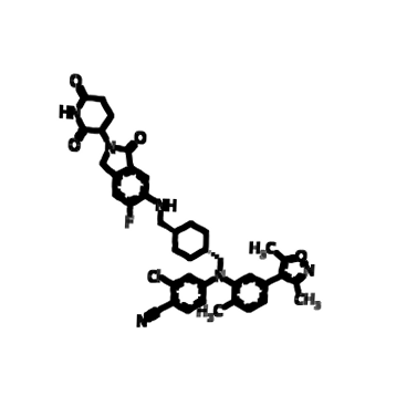 Cc1ccc(-c2c(C)noc2C)cc1N(C[C@H]1CC[C@H](CNc2cc3c(cc2F)CN(C2CCC(=O)NC2=O)C3=O)CC1)c1ccc(C#N)c(Cl)c1